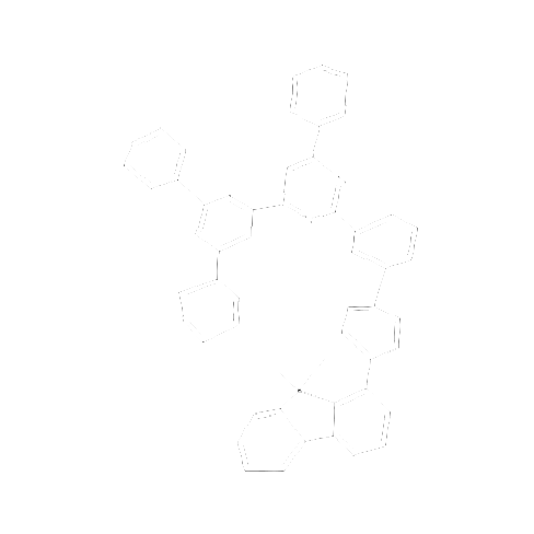 CC1(C)c2ccccc2-c2cccc(-c3ccc(-c4cccc(-c5nc(-c6ccccc6)cc(-c6cc(-c7ccccc7)cc(-c7ccccc7)c6)n5)c4)cc3)c21